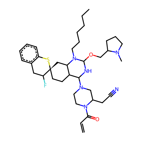 C=CC(=O)N1CCN(C2NC(OCC3CCCN3C)N(CCCCCC)C3C[C@]4(CCC23)Sc2ccccc2CC4F)CC1CC#N